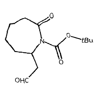 CC(C)(C)OC(=O)N1C(=O)CCCCC1CC=O